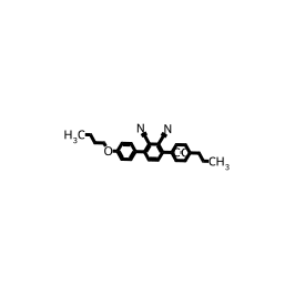 CCCCOc1ccc(-c2ccc(C34CCC(CCC)(CC3)CC4)c(C#N)c2C#N)cc1